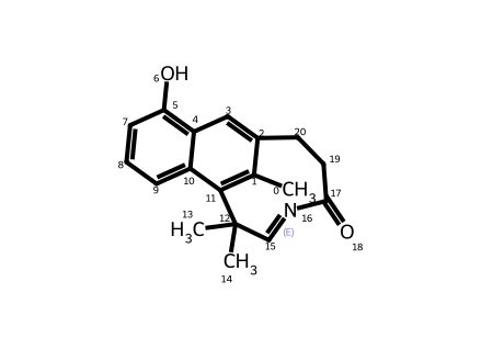 Cc1c2cc3c(O)cccc3c1C(C)(C)/C=N/C(=O)CC2